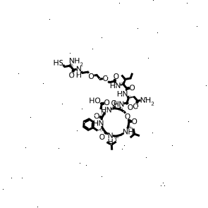 CCC(C)[C@H](NC(=O)COCCOCCNC(=O)[C@@H](N)CS)C(=O)N[C@@H](CC(N)=O)C(=O)N[C@H]1COC(=O)[C@H](CC(C)C)NC[C@H](CC(C)C)NC(=O)[C@H](Cc2ccccc2)NC(=O)[C@H](CC(=O)O)NC1=O